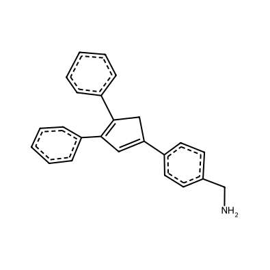 NCc1ccc(C2=CC(c3ccccc3)=C(c3ccccc3)C2)cc1